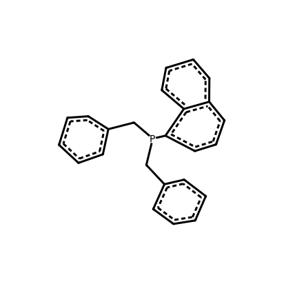 c1ccc(CP(Cc2ccccc2)c2cccc3ccccc23)cc1